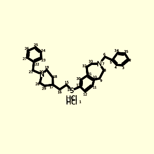 Cl.Cl.c1ccc(CN2CCc3ccc(SCCC4CCN(Cc5ccccc5)CC4)cc3CC2)cc1